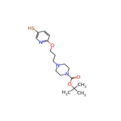 CC(C)(C)OC(=O)N1CCN(CCCOc2ccc(S)cn2)CC1